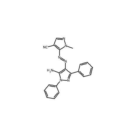 Cn1ncc(C#N)c1/N=N/c1c(-c2ccccc2)nn(-c2ccccc2)c1N